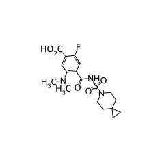 CN(C)c1cc(C(=O)O)c(F)cc1C(=O)NS(=O)(=O)N1CCC2(CC1)CC2